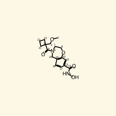 COCC1(C(=O)N2CCOc3cc(C(=O)NO)ccc3C2)CCC1